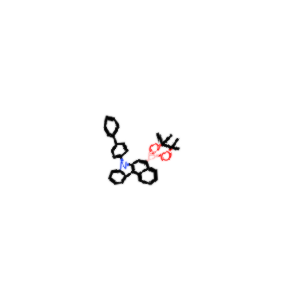 CC1(C)OB(c2cc3c(c4ccccc24)c2ccccc2n3-c2ccc(-c3ccccc3)cc2)OC1(C)C